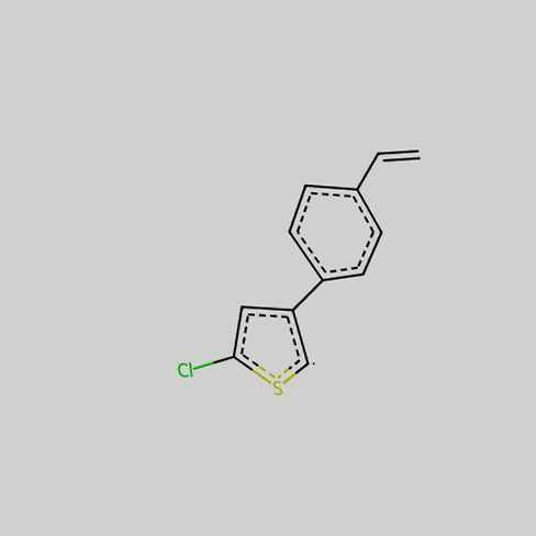 C=Cc1ccc(-c2[c]sc(Cl)c2)cc1